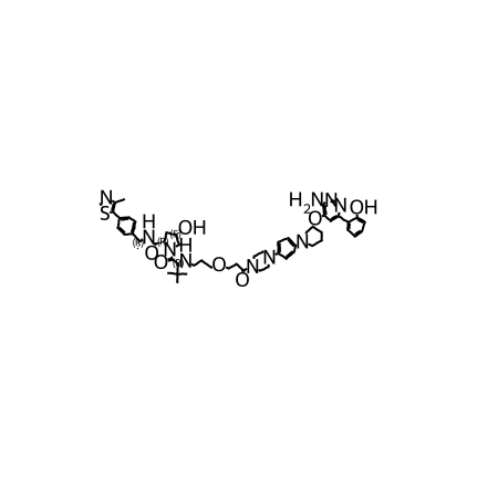 Cc1ncsc1-c1ccc([C@@H](C)NC(=O)[C@H]2C[C@H](O)CN2C(=O)[C@H](NCCCOCCC(=O)N2CCN(c3ccc(N4CCCC(Oc5cc(-c6ccccc6O)nnc5N)C4)cc3)CC2)C(C)(C)C)cc1